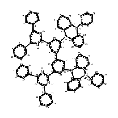 c1ccc(-c2cc(-c3ccccc3)nc(-c3cc(-c4cc(-c5nc(-c6ccccc6)cc(-c6ccccc6)n5)cc(N5c6ccccc6N(c6ccccc6)c6ccccc65)c4)cc(N4c5ccccc5N(c5ccccc5)c5ccccc54)c3)n2)cc1